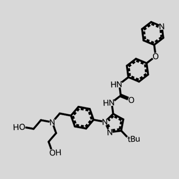 CC(C)(C)c1cc(NC(=O)Nc2ccc(Oc3cccnc3)cc2)n(-c2ccc(CN(CCO)CCO)cc2)n1